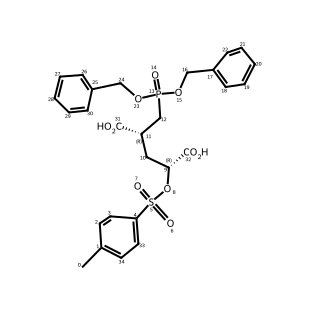 Cc1ccc(S(=O)(=O)O[C@H](C[C@@H](CP(=O)(OCc2ccccc2)OCc2ccccc2)C(=O)O)C(=O)O)cc1